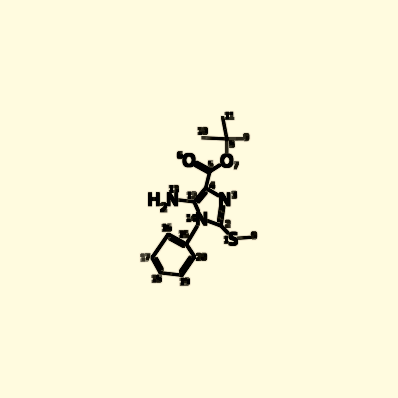 CSc1nc(C(=O)OC(C)(C)C)c(N)n1-c1ccccc1